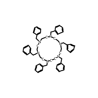 c1ccc(CN2CCN(Cc3ccccc3)CCN(Cc3ccccc3)CCN(Cc3ccccc3)CCN(Cc3ccccc3)CCN(Cc3ccccc3)CC2)cc1